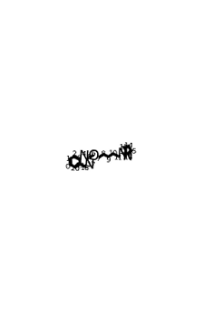 c1ccc2nc(OCCCCCn3cccn3)ncc2c1